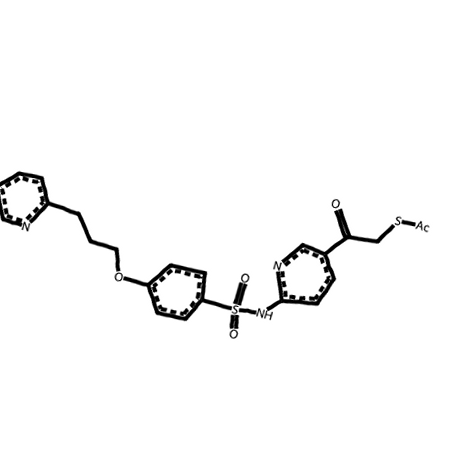 CC(=O)SCC(=O)c1ccc(NS(=O)(=O)c2ccc(OCCCc3ccccn3)cc2)nc1